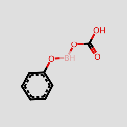 O=C(O)OBOc1ccccc1